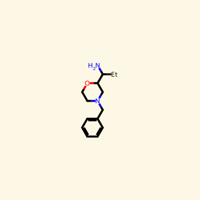 CCC(N)C1CN(Cc2ccccc2)CCO1